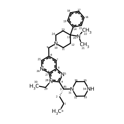 CCC[C@H](c1nc2cc(CN3CCC(c4ccccc4)(N(C)C)CC3)cnc2n1CC)N1CCNCC1